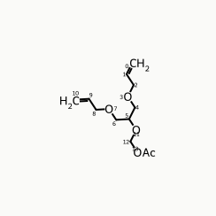 C=CCOCC(COCC=C)OCOC(C)=O